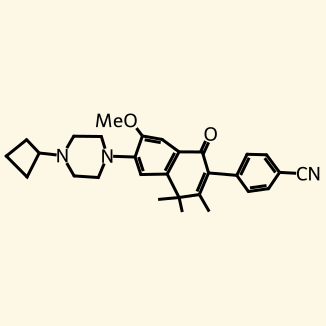 COc1cc2c(cc1N1CCN(C3CCC3)CC1)C(C)(C)C(C)=C(c1ccc(C#N)cc1)C2=O